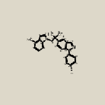 N#Cc1cccc2c1ccn2CC(O)(c1ccc2c(c1)C=NC2c1ccc(F)cc1)C(F)(F)F